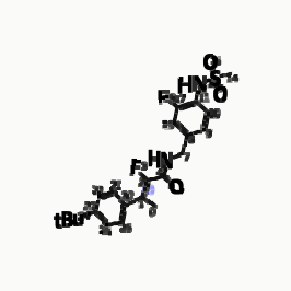 C/C(=C(/F)C(=O)NCc1ccc(NS(C)(=O)=O)c(F)c1)c1ccc(C(C)(C)C)cc1